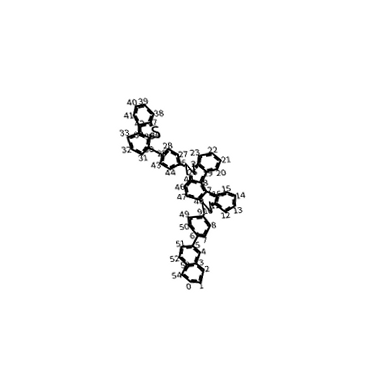 c1ccc2cc(-c3ccc(-n4c5ccccc5c5c6c7ccccc7n(-c7ccc(-c8cccc9c8sc8ccccc89)cc7)c6ccc54)cc3)ccc2c1